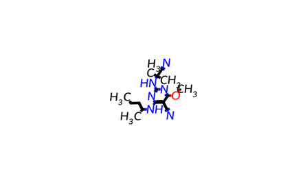 CCCC(C)Nc1nc(NC(C)(C)C#N)nc(OC)c1C#N